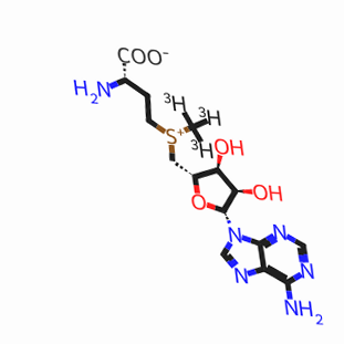 [3H]C([3H])([3H])[S+](CC[C@H](N)C(=O)[O-])C[C@H]1O[C@@H](n2cnc3c(N)ncnc32)[C@H](O)[C@@H]1O